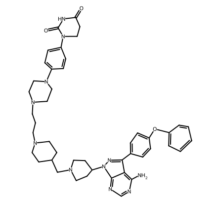 Nc1ncnc2c1c(-c1ccc(Oc3ccccc3)cc1)nn2C1CCN(CC2CCN(CCCN3CCN(c4ccc(N5CCC(=O)NC5=O)cc4)CC3)CC2)CC1